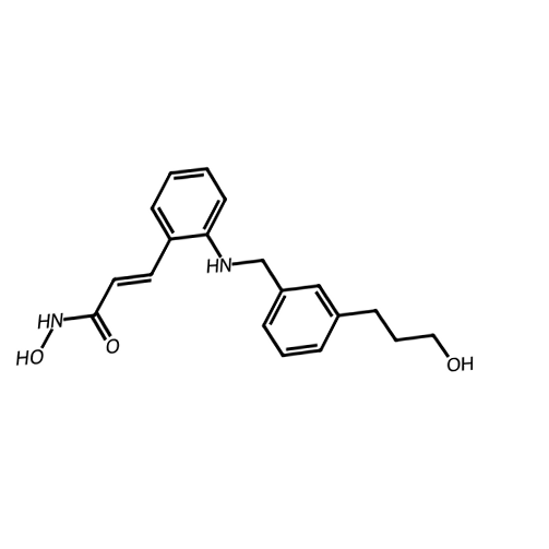 O=C(C=Cc1ccccc1NCc1cccc(CCCO)c1)NO